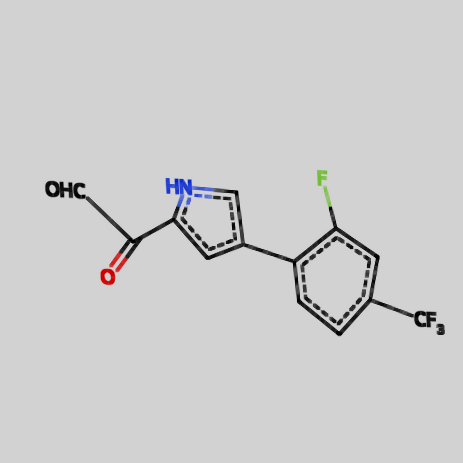 O=CC(=O)c1cc(-c2ccc(C(F)(F)F)cc2F)c[nH]1